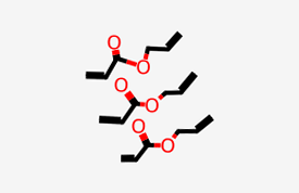 C=CCOC(=O)C=C.C=CCOC(=O)C=C.C=CCOC(=O)C=C